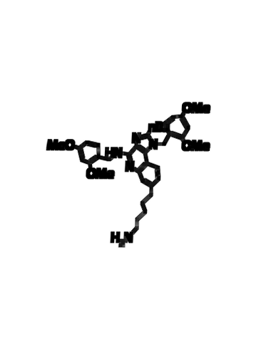 CCCCc1nc2c(NCc3ccc(OC)cc3OC)nc3cc(CCCCCN)ccc3c2n1Cc1ccc(OC)cc1OC